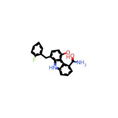 NC(=O)c1cccc2[nH]c3c(Cc4ccccc4F)ccc(O)c3c12